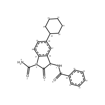 NC(=O)N1C(=O)C(NC(=O)c2ccccc2)c2cc(C3CCCCC3)ccc21